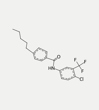 CCCCCc1ccc(C(=O)Nc2ccc(Cl)c(C(F)(F)F)c2)cc1